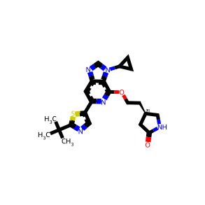 CC(C)(C)c1ncc(-c2cc3ncn(C4CC4)c3c(OCC[C@H]3CNC(=O)C3)n2)s1